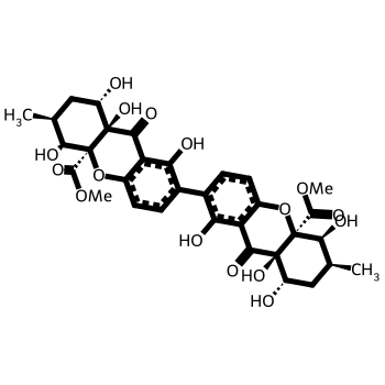 COC(=O)[C@@]12Oc3ccc(-c4ccc5c(c4O)C(=O)[C@@]4(O)[C@@H](O)C[C@H](C)[C@H](O)[C@]4(C(=O)OC)O5)c(O)c3C(=O)[C@@]1(O)[C@@H](O)C[C@H](C)[C@@H]2O